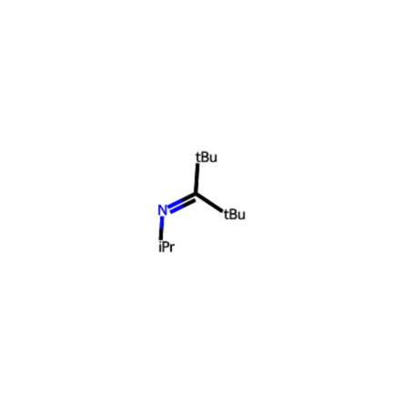 CC(C)N=C(C(C)(C)C)C(C)(C)C